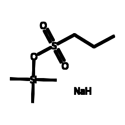 CCCS(=O)(=O)O[Si](C)(C)C.[NaH]